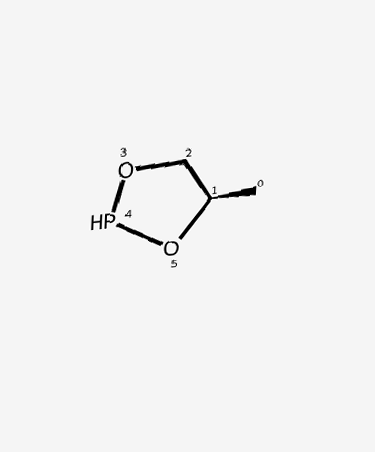 C[C@@H]1COPO1